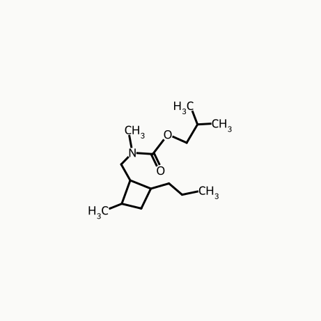 CCCC1CC(C)C1CN(C)C(=O)OCC(C)C